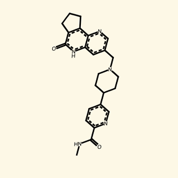 CNC(=O)c1ccc(C2CCN(Cc3cnc4c5c(c(=O)[nH]c4c3)CCC5)CC2)cn1